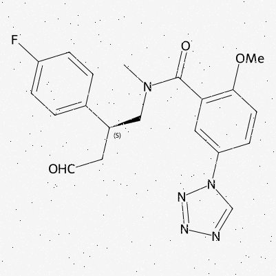 COc1ccc(-n2cnnn2)cc1C(=O)N(C)C[C@@H](CC=O)c1ccc(F)cc1